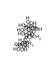 C=C1C[C@@]23CC[C@H]4[C@@](C)(CCC[C@@]4(C)C(=O)O[C@@H]4O[C@H](CO)[C@@H](O)[C@H](O)[C@H]4O)[C@@H]2CC[C@]1(O[C@@H]1O[C@H](CO)[C@@H](O)[C@H](O[C@@H]2O[C@H](CO)[C@@H](O)[C@H](O)[C@H]2O)[C@H]1O[C@@H]1C[C@@H](C)[C@H](O)[C@@H](O)[C@H]1O)C3